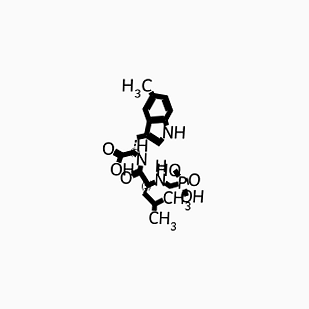 Cc1ccc2[nH]cc(C[C@H](NC(=O)[C@H](CC(C)C)NCP(=O)(O)O)C(=O)O)c2c1